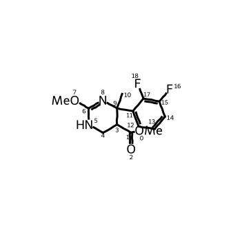 COC(=O)C1CNC(OC)=NC1(C)c1cccc(F)c1F